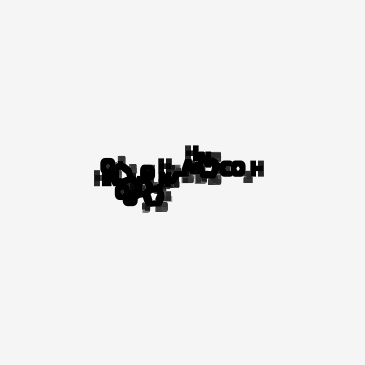 O=C1CCC(N2C(=O)c3cccc(NCCC[AsH]c4ccc(C(=O)O)cn4)c3C2=O)C(=O)N1